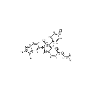 Cc1c2cc(-n3nc4ccc(OCC(F)F)nc4c(-c4ccc(Cl)cc4)c3=O)ccc2nn1C